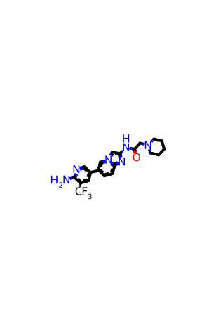 Nc1ncc(-c2ccc3nc(NC(=O)CN4CCCCC4)cn3c2)cc1C(F)(F)F